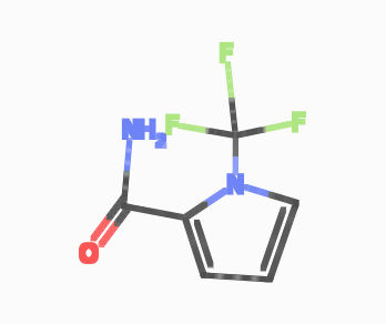 NC(=O)c1cccn1C(F)(F)F